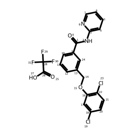 O=C(Nc1ccccn1)c1cccc(COc2cc(Cl)ccc2Cl)c1.O=C(O)C(F)(F)F